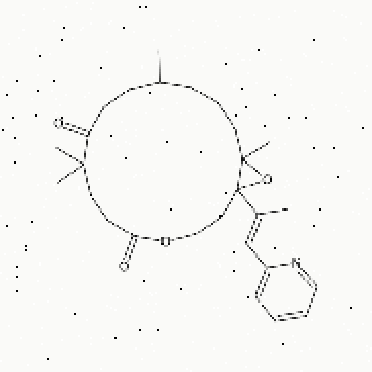 CC(=Cc1ccccn1)C12CCOC(=O)CCC(C)(C)C(=O)CCC(C)CCCC1(C)O2